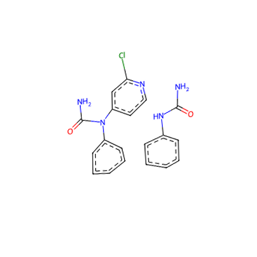 NC(=O)N(c1ccccc1)c1ccnc(Cl)c1.NC(=O)Nc1ccccc1